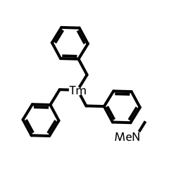 CNC.c1ccc([CH2][Tm]([CH2]c2ccccc2)[CH2]c2ccccc2)cc1